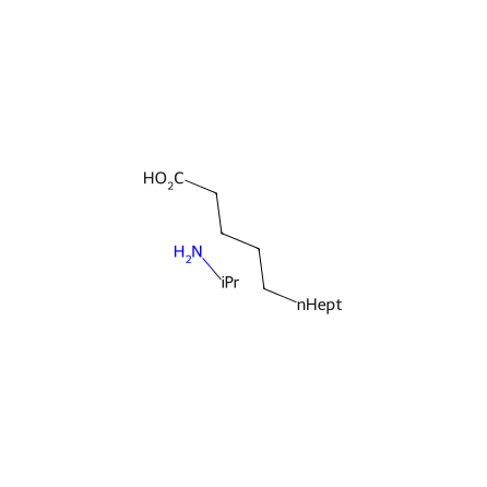 CC(C)N.CCCCCCCCCCCC(=O)O